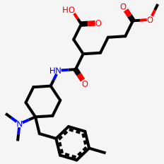 COC(=O)CCCC(CC(=O)O)C(=O)NC1CCC(Cc2ccc(C)cc2)(N(C)C)CC1